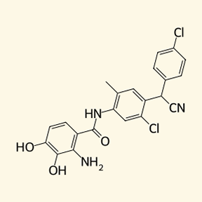 Cc1cc(C(C#N)c2ccc(Cl)cc2)c(Cl)cc1NC(=O)c1ccc(O)c(O)c1N